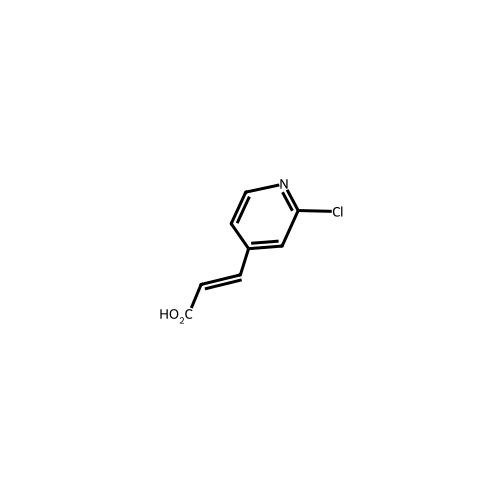 O=C(O)C=Cc1ccnc(Cl)c1